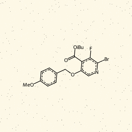 COc1ccc(COc2cnc(Br)c(F)c2C(=O)OCC(C)C)cc1